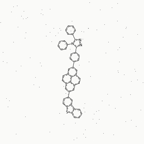 c1ccc(-c2nnc(-c3ccc(-c4cc5ccc6cc(-c7ccc8sc9ccccc9c8c7)cc7ccc(c4)c5c67)cc3)n2-c2ccccc2)cc1